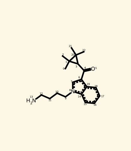 CC1(C)C(C(=O)c2cn(CCCCN)c3ccccc23)C1(C)C